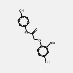 CC(C)(C)c1cc(O)ccc1OCC(=O)Nc1ccc(O)cc1